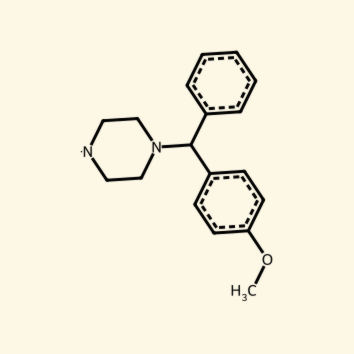 COc1ccc(C(c2ccccc2)N2CC[N]CC2)cc1